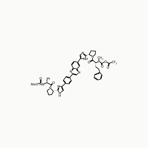 COC(=O)N[C@H](C(=O)N1CCC[C@H]1c1nc(-c2ccc(-c3cnc4cc(-c5cnc([C@@H]6CCCN6C(=O)[C@@H](CCc6ccccc6)N(C)C(=O)OC(=O)C(F)(F)F)[nH]5)ccc4n3)cc2)c[nH]1)C(C)C